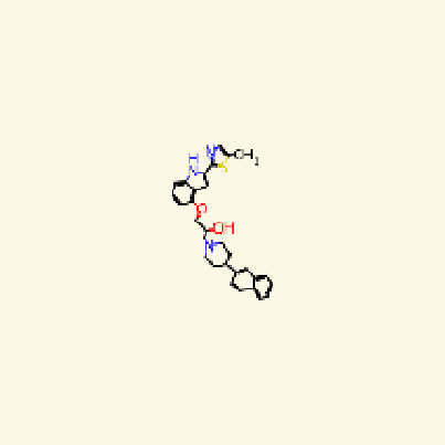 Cc1cnc(-c2cc3c(OCC(O)CN4CCC(c5ccc6ccccc6c5)CC4)cccc3[nH]2)s1